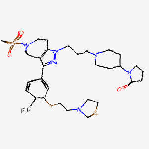 CS(=O)(=O)N1CCc2c(c(-c3ccc(C(F)(F)F)c(SCCN4CCSC4)c3)nn2CCCN2CCC(N3CCCC3=O)CC2)C1